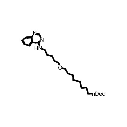 CCCCCCCCCCCCCCCCCCOCCCCCNc1ncnc2ccccc12